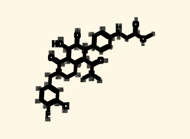 COC(=O)CNc1ccc(-n2c(C(=O)N(C)C)c3c(c(O)c2=O)C(=O)N(Cc2ccc(F)c(Cl)c2)CC3)cc1